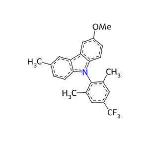 COc1ccc2c(c1)c1cc(C)ccc1n2-c1c(C)cc(C(F)(F)F)cc1C